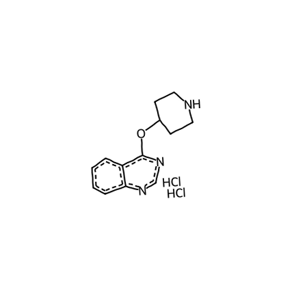 Cl.Cl.c1ccc2c(OC3CCNCC3)ncnc2c1